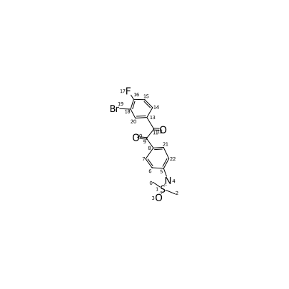 CS(C)(=O)=Nc1ccc(C(=O)C(=O)c2ccc(F)c(Br)c2)cc1